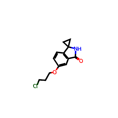 O=C1NC2(CC2)c2ccc(OCCCCl)cc21